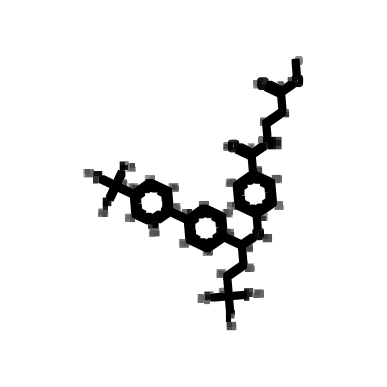 COC(=O)CCNC(=O)c1ccc(OC(CCC(F)(F)F)c2ccc(-c3ccc(C(F)(F)F)cn3)cc2)cc1